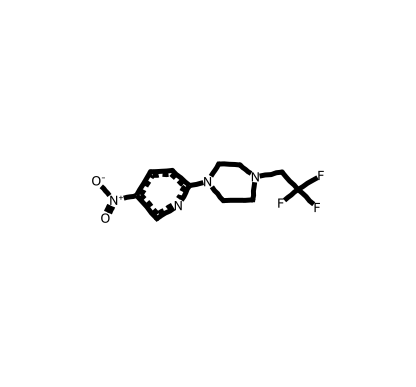 O=[N+]([O-])c1ccc(N2CCN(CC(F)(F)F)CC2)nc1